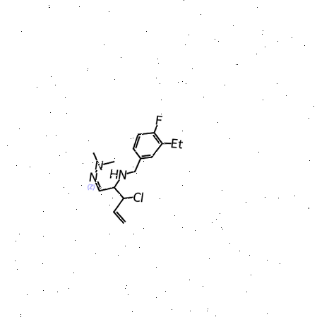 C=CC(Cl)C(/C=N\N(C)C)NCc1ccc(F)c(CC)c1